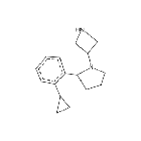 c1ccc(C2CCCN2C2CNC2)c(C2CC2)c1